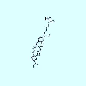 CCC(CC)c1ccc2c(c1)OC1C=C3Oc4cc(C(CC)CCCCCC(=O)O)ccc4C=C3C(C)(C)C1=C2